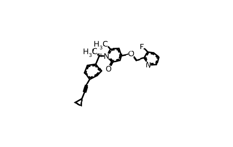 Cc1cc(OCc2ncccc2F)cc(=O)n1[C@H](C)c1ccc(C#CC2CC2)cc1